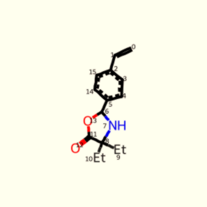 C=Cc1ccc(C2NC(CC)(CC)C(=O)O2)cc1